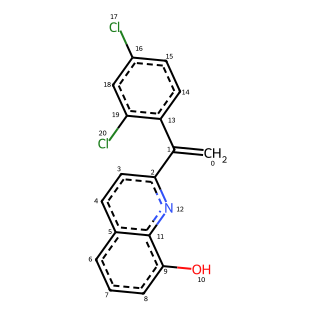 C=C(c1ccc2cccc(O)c2n1)c1ccc(Cl)cc1Cl